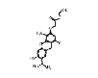 CCOC(=O)COc1cc(Cl)c(Cc2ccc(O)c(C(C)C)c2)c(Cl)c1C